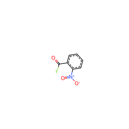 O=C(F)c1ccccc1[N+](=O)[O-]